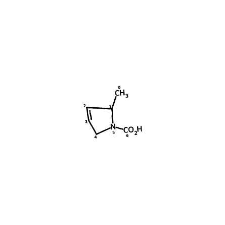 CC1C=CCN1C(=O)O